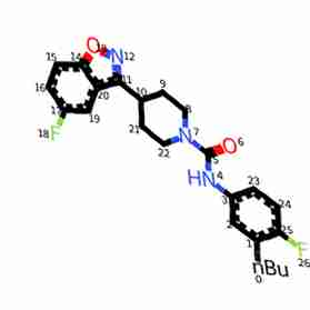 CCCCc1cc(NC(=O)N2CCC(c3noc4ccc(F)cc34)CC2)ccc1F